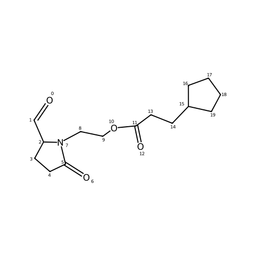 O=CC1CCC(=O)N1CCOC(=O)CCC1CCCC1